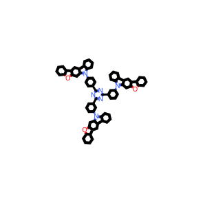 c1cc(-c2nc(-c3ccc(-n4c5ccccc5c5cc6c(cc54)oc4ccccc46)cc3)nc(-c3cccc(-n4c5ccccc5c5cc6c(cc54)oc4ccccc46)c3)n2)cc(-n2c3ccccc3c3cc4c(cc32)oc2ccccc24)c1